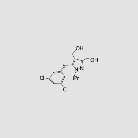 CC(C)n1nc(CO)c(CO)c1Sc1cc(Cl)cc(Cl)c1